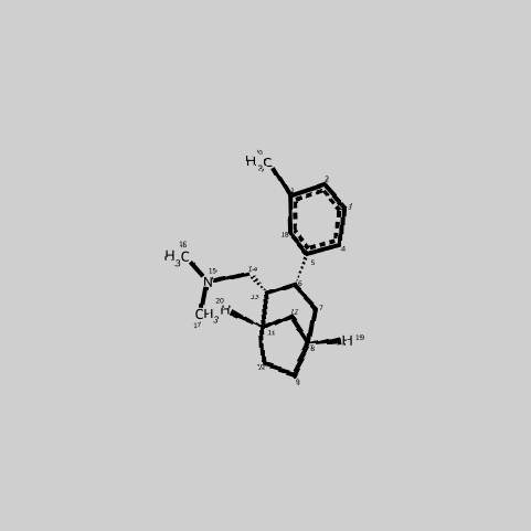 Cc1cccc([C@@H]2C[C@@H]3CC[C@@H](C3)[C@@H]2CN(C)C)c1